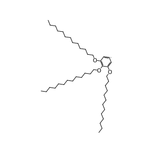 CCCCCCCCCCCCCOc1c[c]cc(OCCCCCCCCCCCCC)c1OCCCCCCCCCCCCC